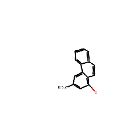 CCOC(=O)c1cc([O])c2ccc3ccccc3c2c1